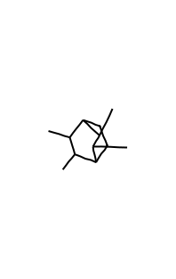 CC1C(C)C2CCC1C(C)C2C